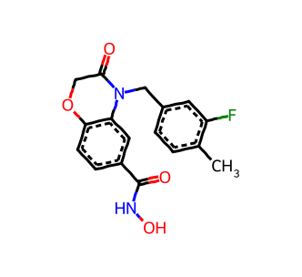 Cc1ccc(CN2C(=O)COc3ccc(C(=O)NO)cc32)cc1F